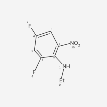 CCNc1c(F)cc(F)cc1[N+](=O)[O-]